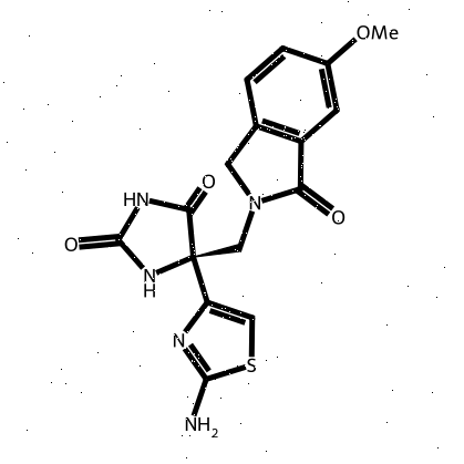 COc1ccc2c(c1)C(=O)N(C[C@@]1(c3csc(N)n3)NC(=O)NC1=O)C2